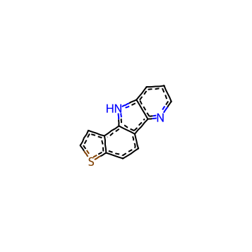 c1cnc2c(c1)[nH]c1c3ccsc3ccc21